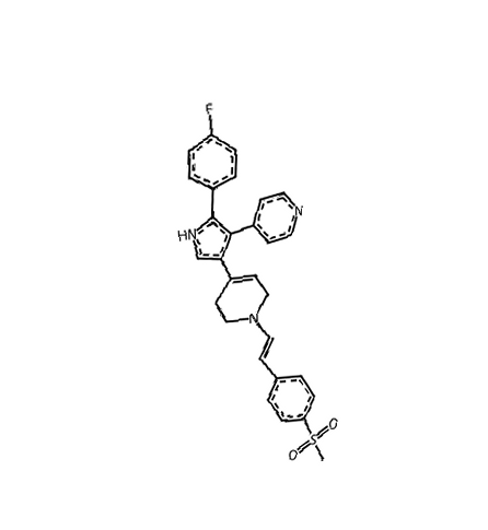 CS(=O)(=O)c1ccc(C=CN2CC=C(c3c[nH]c(-c4ccc(F)cc4)c3-c3ccncc3)CC2)cc1